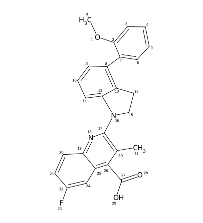 COc1ccccc1-c1cccc2c1CCN2c1nc2ccc(F)cc2c(C(=O)O)c1C